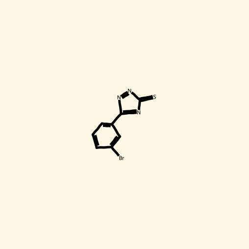 S=C1N=NC(c2cccc(Br)c2)=N1